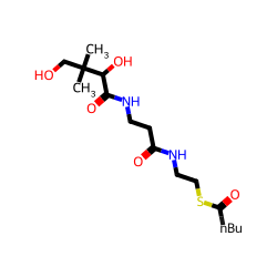 CCCCC(=O)SCCNC(=O)CCNC(=O)C(O)C(C)(C)CO